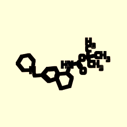 CC(C)(C)OC(=O)NC1CCCc2cc(CN3CCCCC3)ccc21